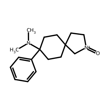 CN(C)C1(c2ccccc2)CCC2(CC[N+](=O)C2)CC1